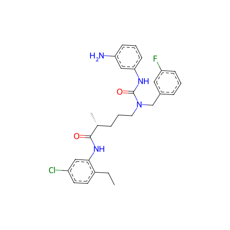 CCc1ccc(Cl)cc1NC(=O)[C@H](C)CCCN(Cc1cccc(F)c1)C(=O)Nc1cccc(N)c1